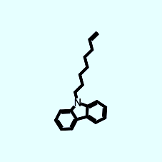 C=CCCCCCCn1c2ccccc2c2ccccc21